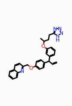 C=CC(c1ccc(OCc2ccc3ccccc3n2)cc1)c1cccc(OC(C)CCc2nnn[nH]2)c1